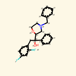 O[C@](Cc1ccc(F)cc1F)(c1ccccc1)C1CN(Cc2ccccc2)CCO1